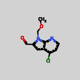 COCn1c(C=O)cc2c(Cl)ccnc21